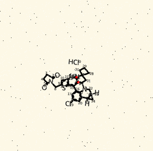 Cl.O=C1CCC(=O)N1Cc1cc2nccc(-c3cc(Cl)cc4c3N([C@H]3CNC5(CCC5)C3)C[C@@H]3C[C@H]43)c2s1